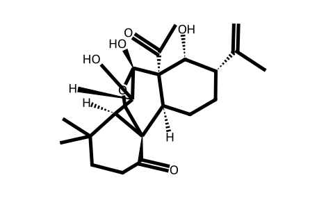 C=C(C)[C@@H]1CC[C@H]2[C@@]34CO[C@@](O)([C@@H](O)[C@@H]3C(C)(C)CCC4=O)[C@@]2(C(C)=O)[C@@H]1O